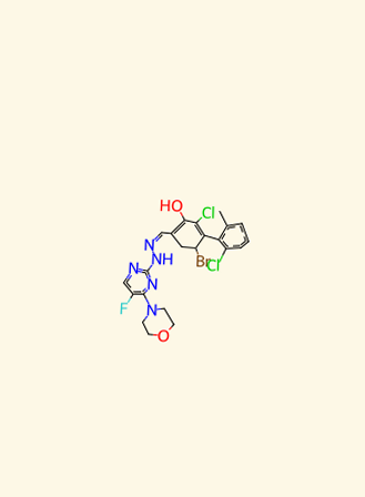 Cc1cccc(Cl)c1C1=C(Cl)C(O)=C(/C=N\Nc2ncc(F)c(N3CCOCC3)n2)CC1Br